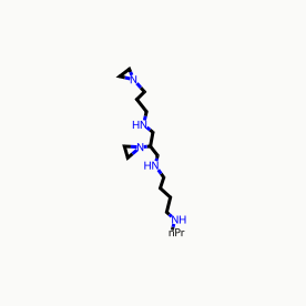 CCCNCCCCNCC(CNCCCN1CC1)N1CC1